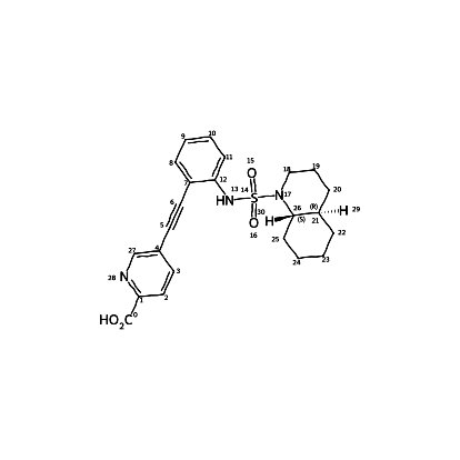 O=C(O)c1ccc(C#Cc2ccccc2NS(=O)(=O)N2CCC[C@H]3CCCC[C@@H]32)cn1